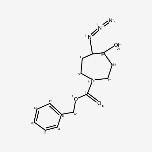 [N-]=[N+]=NC1CCN(C(=O)OCc2ccccc2)CCC1O